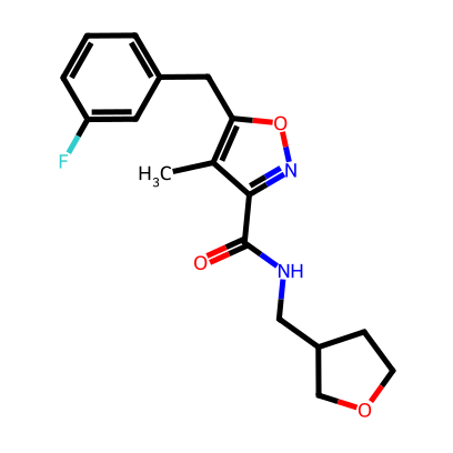 Cc1c(C(=O)NCC2CCOC2)noc1Cc1cccc(F)c1